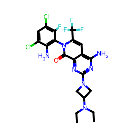 CCN(CC)C1CN(c2nc(N)c3cc(C(F)(F)F)n(-c4c(N)c(Cl)cc(Cl)c4F)c(=O)c3n2)C1